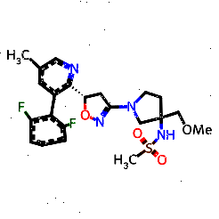 COCC1(NS(C)(=O)=O)CCN(C2=NO[C@H](c3ncc(C)cc3-c3c(F)cccc3F)C2)C1